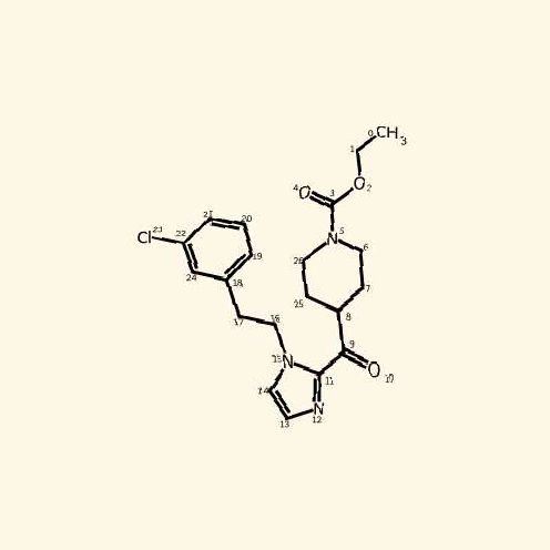 CCOC(=O)N1CCC(C(=O)c2nccn2CCc2cccc(Cl)c2)CC1